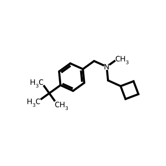 CN(Cc1ccc(C(C)(C)C)cc1)CC1CCC1